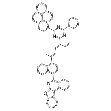 C=C/C(=C\C=C(/C)c1ccc(-c2nc3oc4ccccc4c3c3ccccc23)c2ccccc12)c1nc(-c2ccccc2)nc(-c2ccc3ccc4cccc5ccc2c3c45)n1